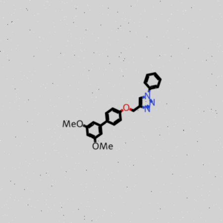 COc1cc(OC)cc(-c2ccc(OCc3cn(-c4ccccc4)nn3)cc2)c1